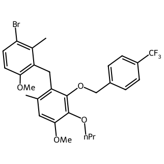 CCCOc1c(OC)cc(C)c(Cc2c(OC)ccc(Br)c2C)c1OCc1ccc(C(F)(F)F)cc1